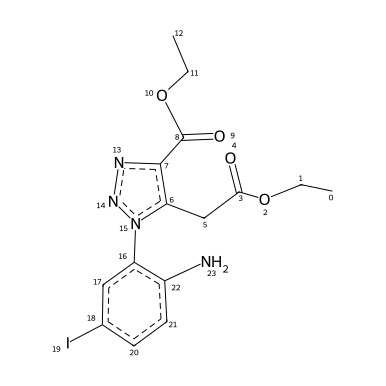 CCOC(=O)Cc1c(C(=O)OCC)nnn1-c1cc(I)ccc1N